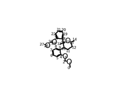 COCOc1ccccc1C1CCC(C)OC1(C)c1ccccc1OCOC